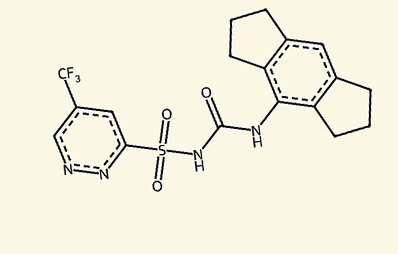 O=C(Nc1c2c(cc3c1CCC3)CCC2)NS(=O)(=O)c1cc(C(F)(F)F)cnn1